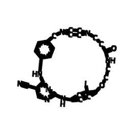 N#Cc1cnc2nc1Nc1ccc(cc1)CN1CCN(CCC(=O)NCCOc3ccc(cc3I)N2)CC1